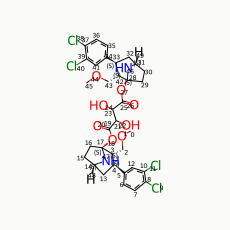 COC[C@@H]1[C@@H](c2ccc(Cl)c(Cl)c2)C[C@@H]2CC[C@@]1(OC(=O)C(O)C(O)C(=O)O[C@@]13CC[C@@H](C[C@H](c4ccc(Cl)c(Cl)c4)[C@H]1COC)N3)N2